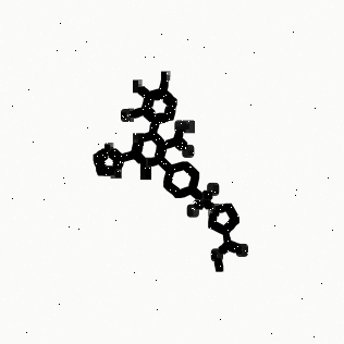 COC(=O)[C@@H]1CCN(S(=O)(=O)C2CCC(C3=C(C(=O)O)C(c4ccc(F)c(F)c4Cl)N=C(c4nccs4)N3)CC2)C1